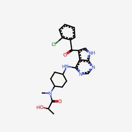 CC(O)C(=O)N(C)C1CCC(Nc2ncnc3[nH]cc(C(=O)c4ccccc4Cl)c23)CC1